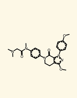 COc1ccc(-n2nc(OC)c3c2C(=O)N(c2ccc(N(C)C(=O)CN(C)C)cc2)CC3)cc1